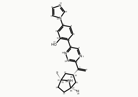 C=C(c1ncc(-c2ccc(-n3ccnc3)cc2O)nn1)[C@@H]1C[C@H]2CC[C@@](C)(C1)N2